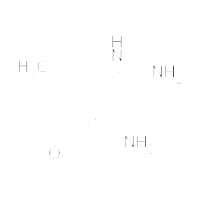 C[C@H](NN)C(N)=O